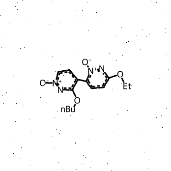 CCCCOc1n[n+]([O-])[c]cc1-c1ccc(OCC)n[n+]1[O-]